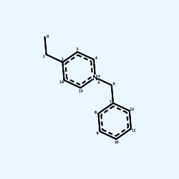 CCc1cc[n+](Cc2ccccc2)cc1